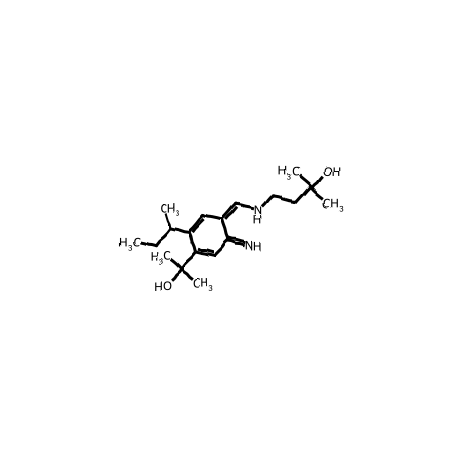 CCC(C)C1=C/C(=C/NCCC(C)(C)O)C(=N)C=C1C(C)(C)O